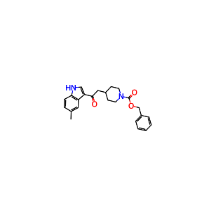 Cc1ccc2[nH]cc(C(=O)CC3CCN(C(=O)OCc4ccccc4)CC3)c2c1